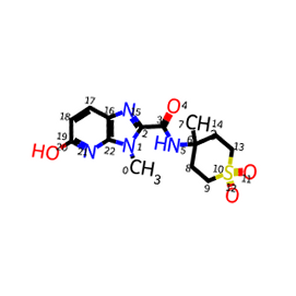 Cn1c(C(=O)NC2(C)CCS(=O)(=O)CC2)nc2ccc(O)nc21